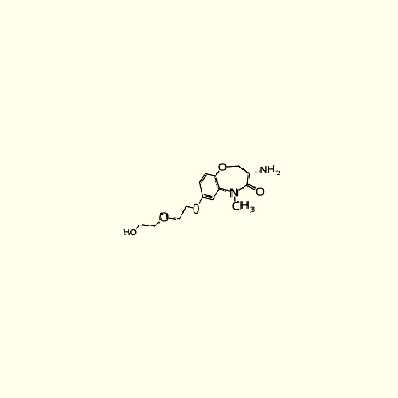 CN1C(=O)[C@@H](N)COc2ccc(OCCOCCO)cc21